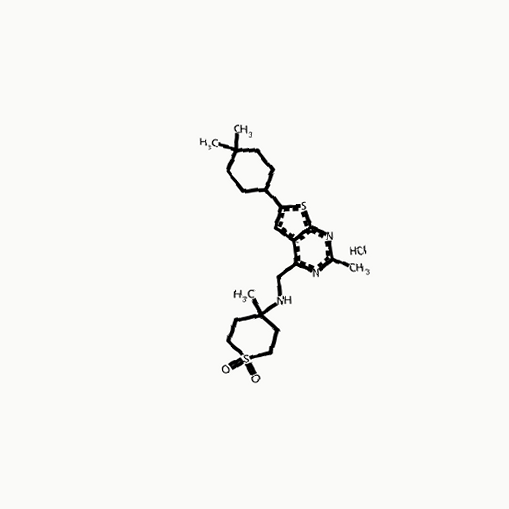 Cc1nc(CNC2(C)CCS(=O)(=O)CC2)c2cc(C3CCC(C)(C)CC3)sc2n1.Cl